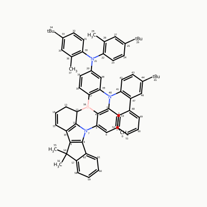 Cc1cc2c3c(c1)-n1c4c(c5c1C(CC=C5)B3c1ccc(N(c3ccc(C(C)(C)C)cc3C)c3ccc(C(C)(C)C)cc3C)cc1N2c1ccc(C(C)(C)C)cc1-c1ccccc1)C(C)(C)c1ccccc1-4